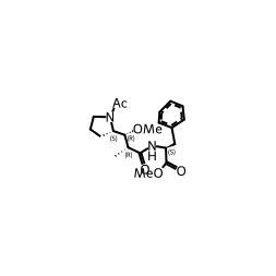 COC(=O)[C@H](Cc1ccccc1)NC(=O)[C@H](C)[C@@H](OC)[C@@H]1CCCN1C(C)=O